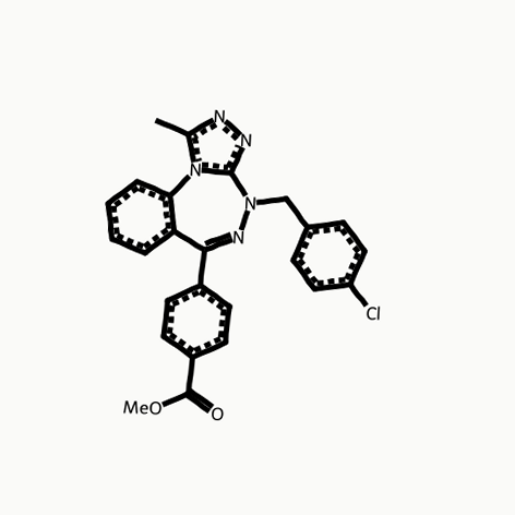 COC(=O)c1ccc(C2=NN(Cc3ccc(Cl)cc3)c3nnc(C)n3-c3ccccc32)cc1